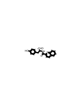 O=[C][C@H](Cc1ccc(O)cc1)NC(=O)c1ccc2ccccc2n1